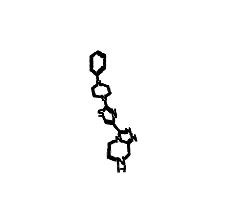 c1ccc(N2CCN(c3nc(-c4nnc5n4CCNC5)cs3)CC2)cc1